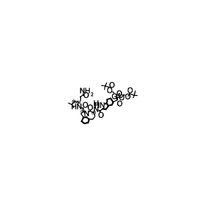 CC(C)[C@H](C)[C@H](CCC(N)=O)NC(=O)[C@@H]1Cc2cccc3c2N1C(=O)[C@@H](NC(=O)c1cc2cc(C(=O)P(=O)(OCOC(=O)C(C)(C)C)OCOC(=O)C(C)(C)C)ccc2[nH]1)CC3